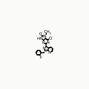 CCn1c(=O)[nH]c2nc(-c3nn(Cc4ccccc4F)c4ncccc34)nc(Cl)c21